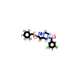 O=C(c1cc(F)cc(F)c1)N1CCn2nc(OCc3ccccc3F)cc2C1